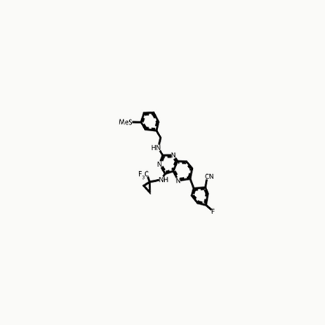 CSc1cccc(CNc2nc(NC3(C(F)(F)F)CC3)c3nc(-c4ccc(F)cc4C#N)ccc3n2)c1